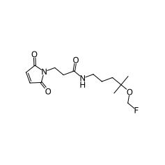 CC(C)(CCCNC(=O)CCN1C(=O)C=CC1=O)OCF